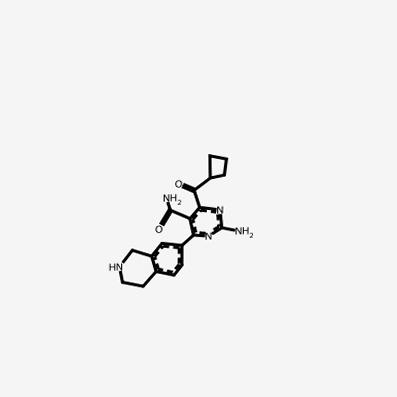 NC(=O)c1c(C(=O)C2CCC2)nc(N)nc1-c1ccc2c(c1)CNCC2